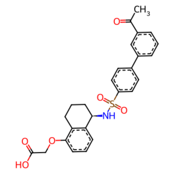 CC(=O)c1cccc(-c2ccc(S(=O)(=O)N[C@@H]3CCCc4c(OCC(=O)O)cccc43)cc2)c1